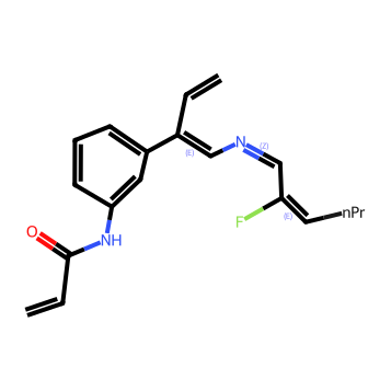 C=CC(=O)Nc1cccc(/C(C=C)=C/N=C\C(F)=C/CCC)c1